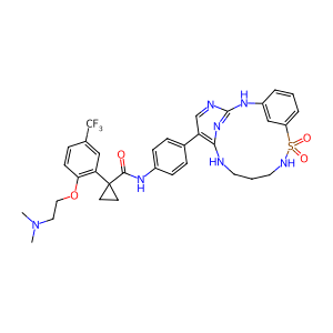 CN(C)CCOc1ccc(C(F)(F)F)cc1C1(C(=O)Nc2ccc(-c3cnc4nc3NCCCNS(=O)(=O)c3cccc(c3)N4)cc2)CC1